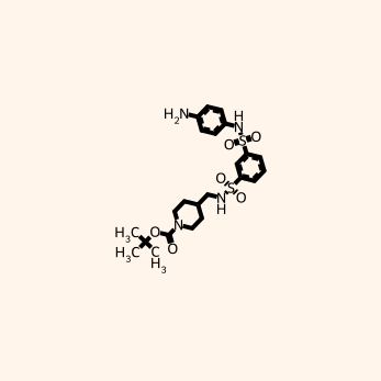 CC(C)(C)OC(=O)N1CCC(CNS(=O)(=O)c2cccc(S(=O)(=O)Nc3ccc(N)cc3)c2)CC1